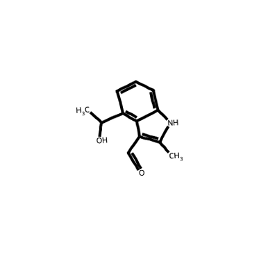 Cc1[nH]c2cccc(C(C)O)c2c1C=O